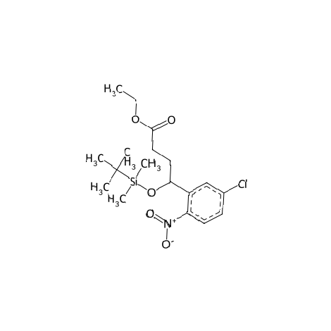 CCOC(=O)CCC(O[Si](C)(C)C(C)(C)C)c1cc(Cl)ccc1[N+](=O)[O-]